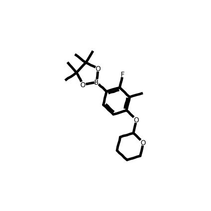 Cc1c(OC2CCCCO2)ccc(B2OC(C)(C)C(C)(C)O2)c1F